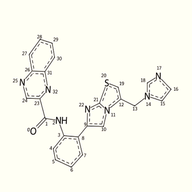 O=C(Nc1ccccc1-c1cn2c(Cn3ccnc3)csc2n1)c1cnc2ccccc2n1